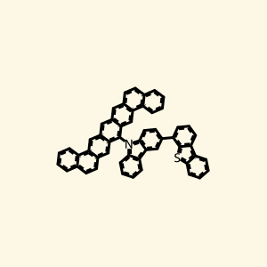 c1ccc2c(c1)ccc1cc3c(-n4c5ccccc5c5cc(-c6cccc7c6sc6ccccc67)ccc54)c4cc5c(ccc6ccccc65)cc4cc3cc12